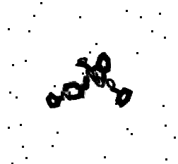 O=C(OCc1ccccc1)c1ccccc1C(NCCC1CCN(C2CCCC2)CC1)C1CO1